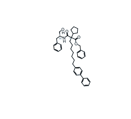 O=C(N[C@H](CO)Cc1ccccc1)[C@@](CCCCCCCc1ccc(-c2ccccc2)cc1)(C(=O)OCc1ccccc1)C1CCCC1